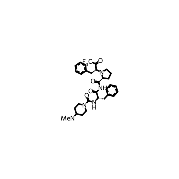 CNC1CCN(C(=O)N[C@@H](Cc2ccccc2)C(=O)NC(=O)[C@@H]2CCCN2[C@@H](Cc2ccccc2)C(=O)C(F)(F)F)CC1